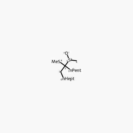 CCCCCCCCC(CCCCC)(SC)[S+](C)[O-]